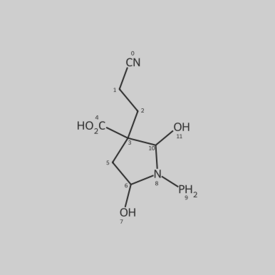 N#CCCC1(C(=O)O)CC(O)N(P)C1O